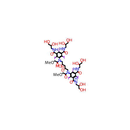 COCC(=O)N(CC(O)CC(O)CN(C(=O)COC)c1c(I)c(C(=O)NCC(O)CO)c(I)c(C(=O)NCC(O)CO)c1I)c1c(I)c(C(=O)NCC(O)CO)c(I)c(C(=O)NCC(O)CO)c1I